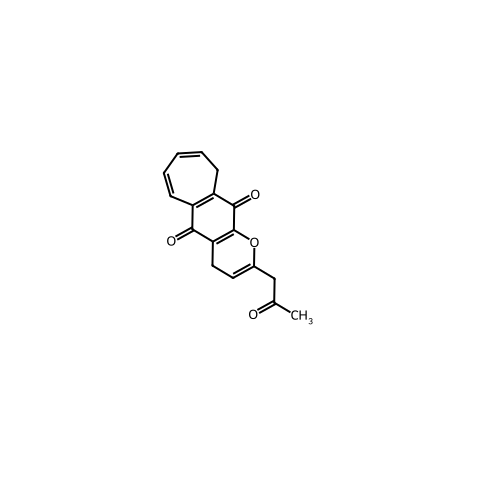 CC(=O)CC1=CCC2=C(O1)C(=O)C1=C(C=CC=CC1)C2=O